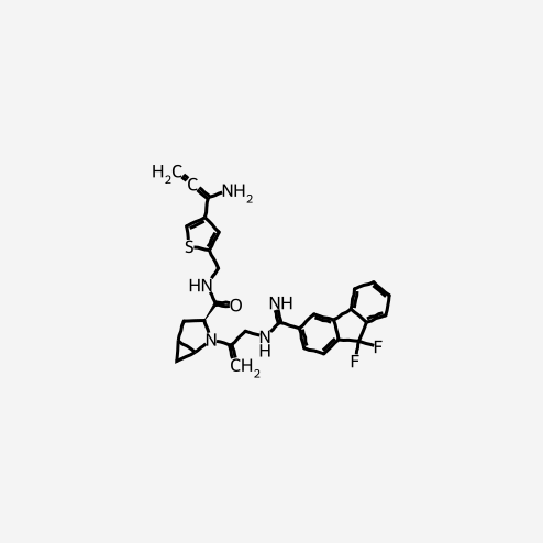 C=C=C(N)c1csc(CNC(=O)[C@@H]2CC3CC3N2C(=C)CNC(=N)c2ccc3c(c2)-c2ccccc2C3(F)F)c1